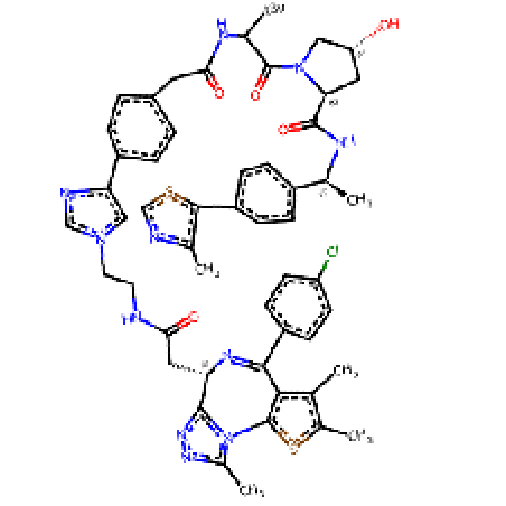 Cc1ncsc1-c1ccc([C@H](C)NC(=O)[C@@H]2C[C@@H](O)CN2C(=O)C(NC(=O)Cc2ccc(-c3cn(CCNC(=O)C[C@@H]4N=C(c5ccc(Cl)cc5)c5c(sc(C)c5C)-n5c(C)nnc54)cn3)cc2)C(C)(C)C)cc1